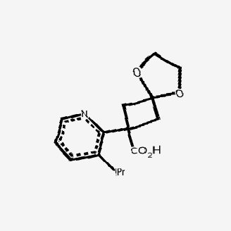 CC(C)c1cccnc1C1(C(=O)O)CC2(C1)OCCO2